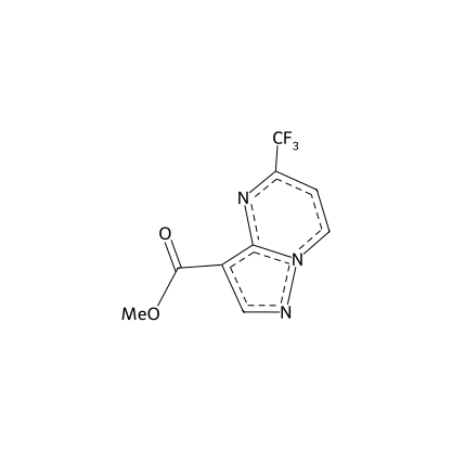 COC(=O)c1cnn2ccc(C(F)(F)F)nc12